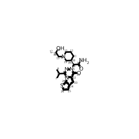 CC(C)c1nn(C(C(N)=O)[C@@H]2CCCN(C[C@H](C)O)C2)c(=O)c2cc3ccsc3n12